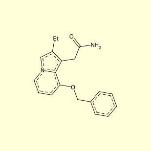 CCc1cn2cccc(OCc3ccccc3)c2c1CC(N)=O